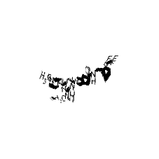 CNc1nc(N2CCN(C)CC2)nc(N2Cc3ccc(C(=O)NCc4ccccc4OC(F)(F)F)cc3C2)n1